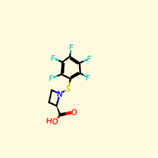 O=C(O)[C@H]1CCN1Sc1c(F)c(F)c(F)c(F)c1F